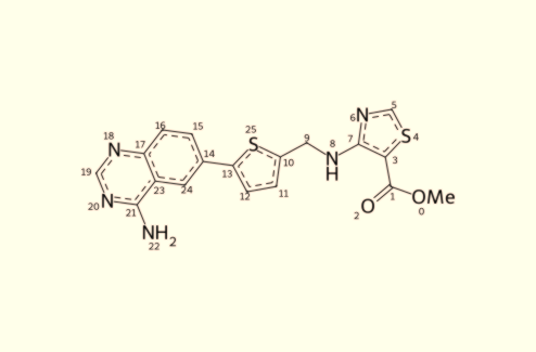 COC(=O)c1scnc1NCc1ccc(-c2ccc3ncnc(N)c3c2)s1